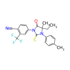 CCC1(C)C(=O)N(c2ccc(C#N)c(C(F)(F)F)c2)C(=S)N1c1ccc(C)cc1